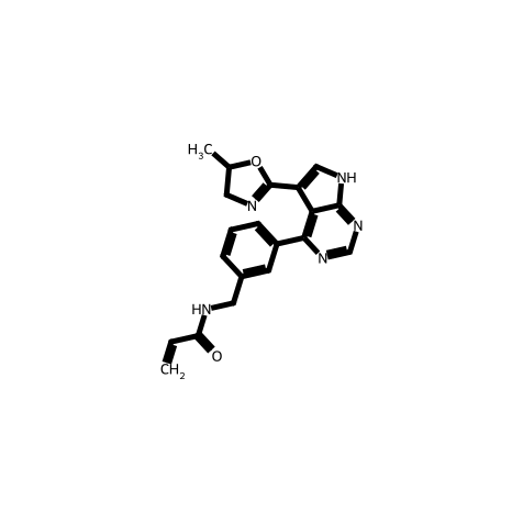 C=CC(=O)NCc1cccc(-c2ncnc3[nH]cc(C4=NCC(C)O4)c23)c1